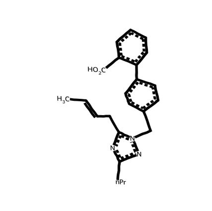 CC=CCc1nc(CCC)nn1Cc1ccc(-c2ccccc2C(=O)O)cc1